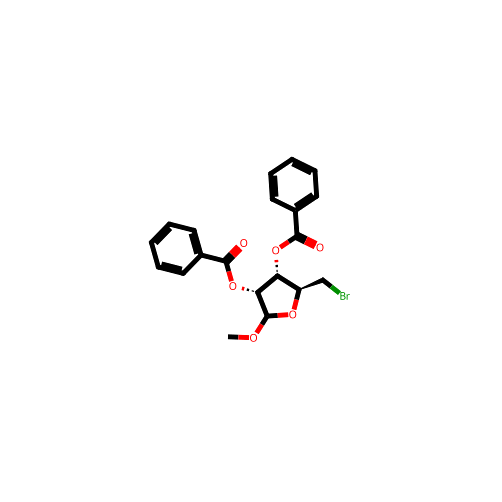 COC1O[C@H](CBr)[C@@H](OC(=O)c2ccccc2)[C@H]1OC(=O)c1ccccc1